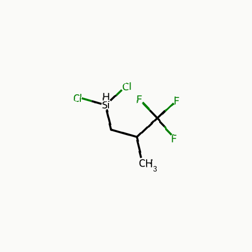 CC(C[SiH](Cl)Cl)C(F)(F)F